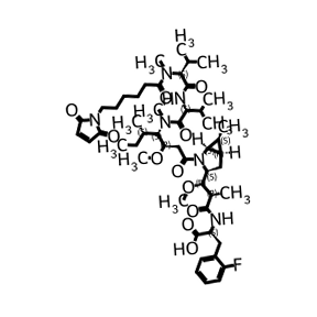 CC[C@H](C)[C@@H]([C@@H](CC(=O)N1[C@H]2[C@@H](C)[C@H]2C[C@H]1[C@H](OC)[C@@H](C)C(=O)N[C@@H](Cc1ccccc1F)C(=O)O)OC)N(C)C(=O)[C@@H](NC(=O)[C@H](C(C)C)N(C)C(=O)CCCCCN1C(=O)C=CC1=O)C(C)C